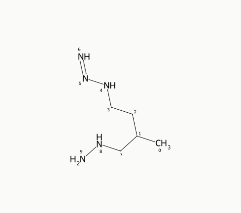 CC(CCNN=N)CNN